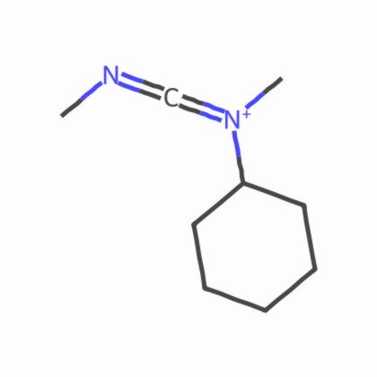 CN=C=[N+](C)C1CCCCC1